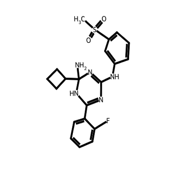 CS(=O)(=O)c1cccc(NC2=NC(N)(C3CCC3)NC(c3ccccc3F)=N2)c1